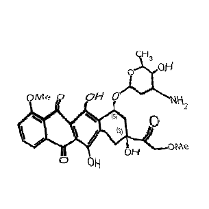 COCC(=O)[C@]1(O)Cc2c(O)c3c(c(O)c2[C@@H](OC2CC(N)C(O)C(C)O2)C1)C(=O)c1c(OC)cccc1C3=O